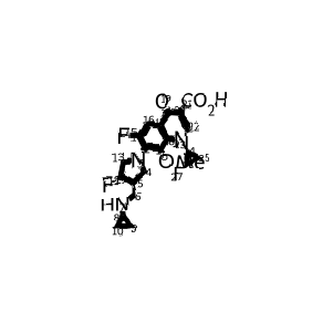 COc1c(N2C[C@@H](CNC3CC3)[C@H](F)C2)c(F)cc2c(=O)c(C(=O)O)cn([C@@H]3C[C@@H]3F)c12